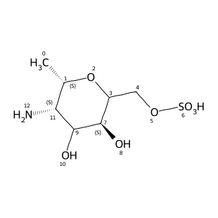 C[C@@H]1OC(COS(=O)(=O)O)[C@@H](O)C(O)[C@@H]1N